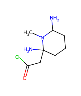 CN1C(N)CCCC1(N)CC(=O)Cl